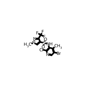 Cc1c(Br)cnc(Cl)c1NS(=O)(=O)c1cn(C)nc1C(F)(F)F